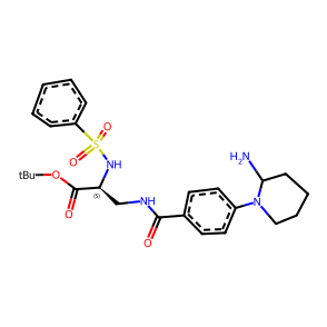 CC(C)(C)OC(=O)[C@H](CNC(=O)c1ccc(N2CCCCC2N)cc1)NS(=O)(=O)c1ccccc1